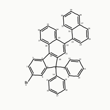 Brc1ccc2c(c1)C(c1ccccc1)(c1ccccc1)c1cc(-c3cccc4ccccc34)c3ccccc3c1-2